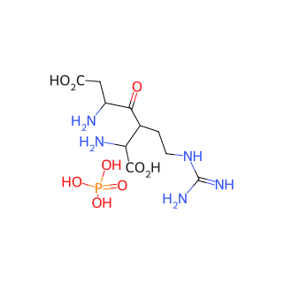 N=C(N)NCCC(C(=O)C(N)CC(=O)O)C(N)C(=O)O.O=P(O)(O)O